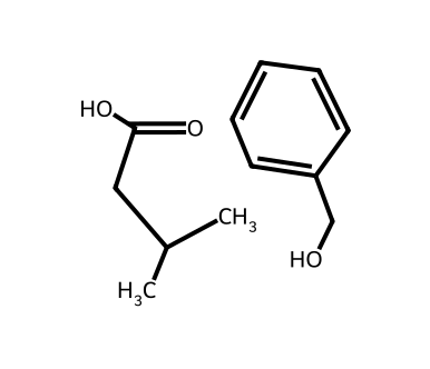 CC(C)CC(=O)O.OCc1ccccc1